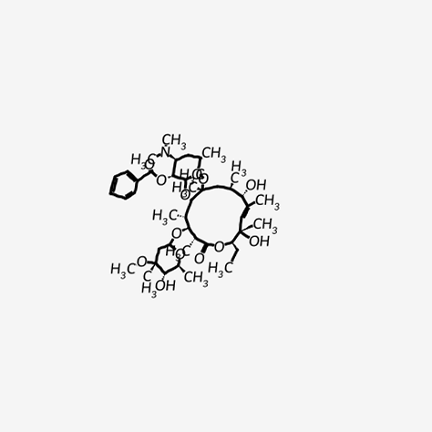 CC[C@H]1OC(=O)[C@H](C)[C@@H](OC2C[C@@](C)(OC)[C@@H](O)[C@H](C)O2)[C@H](C)[C@@H](OC2O[C@H](C)C[C@H](N(C)C)[C@H]2OC(=O)c2ccccc2)[C@](C)(OC)C[C@@H](C)[C@H](O)/C(C)=C/[C@]1(C)O